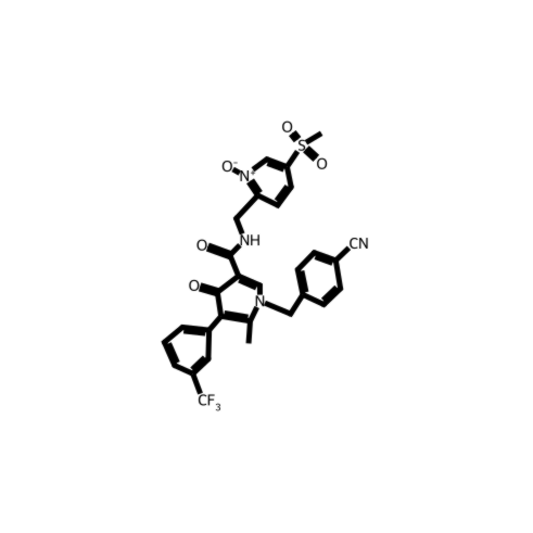 Cc1c(-c2cccc(C(F)(F)F)c2)c(=O)c(C(=O)NCc2ccc(S(C)(=O)=O)c[n+]2[O-])cn1Cc1ccc(C#N)cc1